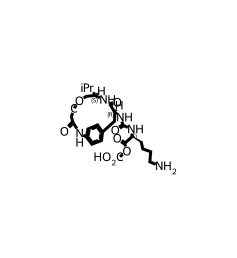 CC(C)[C@H]1COCCC(=O)Nc2ccc(cc2)C[C@@H](NC(=O)N[C@@H](CCCCN)C(=O)OC(=O)O)C(=O)N1